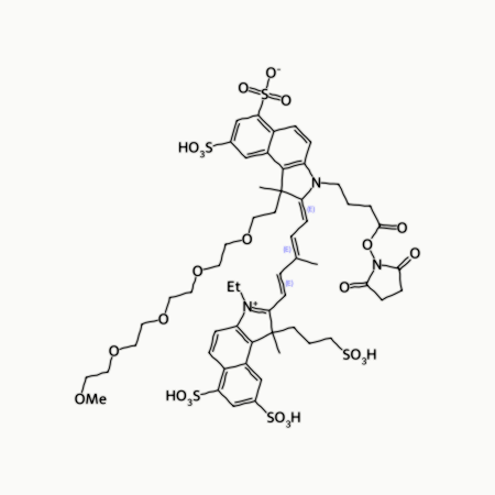 CC[N+]1=C(/C=C/C(C)=C/C=C2/N(CCCC(=O)ON3C(=O)CCC3=O)c3ccc4c(S(=O)(=O)[O-])cc(S(=O)(=O)O)cc4c3C2(C)CCOCCOCCOCCOCCOC)C(C)(CCCS(=O)(=O)O)c2c1ccc1c(S(=O)(=O)O)cc(S(=O)(=O)O)cc21